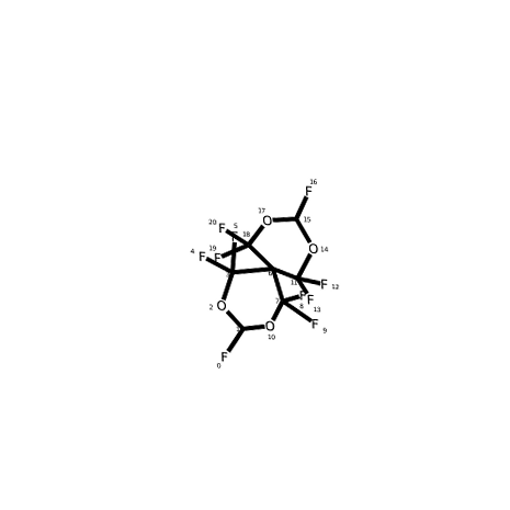 FC1OC(F)(F)C2(C(F)(F)O1)C(F)(F)OC(F)OC2(F)F